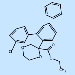 CCOC(=O)C1(c2ccccc2-c2cccc(Cl)c2)COCCO1.[c]1ccccc1